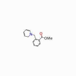 COC(=O)c1ccccc1CN1C=CC=CC1